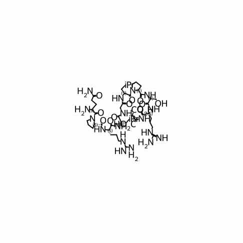 CC(C)C[C@H](NC(=O)[C@H](CCCNC(=N)N)NC(=O)[C@@H]1CCCN1C(=O)[C@@H](N)CCC(N)=O)C(=O)NCC(=O)N[C@@H](CC(C)C)C(=O)N1CCC[C@H]1C(=O)N[C@@H](CO)C(=O)N[C@@H](CCCNC(=N)N)C(=O)N[C@@H](CC(=O)O)C(=O)O